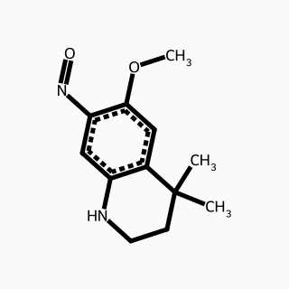 COc1cc2c(cc1N=O)NCCC2(C)C